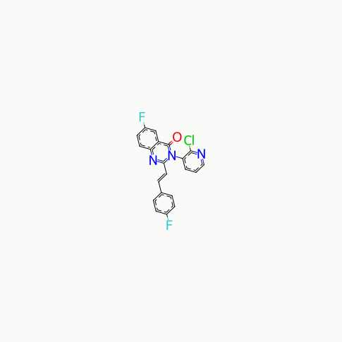 O=c1c2cc(F)ccc2nc(C=Cc2ccc(F)cc2)n1-c1cccnc1Cl